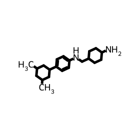 CC1CC(C)CC(c2ccc(NCC3CCC(N)CC3)cc2)C1